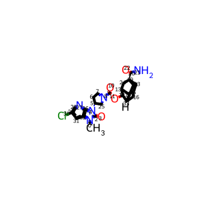 Cn1c(=O)n([C@@H]2CCN(C(=O)OC3C4CC5C[C@H]3C[C@@](C(N)=O)(C5)C4)C2)c2ncc(Cl)cc21